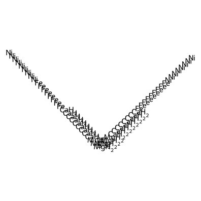 [CaH2].[CaH2].[CaH2].[CaH2].[CaH2].[CaH2].[CaH2].[CaH2].[CaH2].[CaH2].[CaH2].[CaH2].[CaH2].[CaH2].[CaH2].[CaH2].[CaH2].[Fe].[Fe].[Fe].[Fe].[Fe].[Fe].[Fe].[Fe].[Fe].[Fe].[Fe].[Fe].[Fe].[Fe].[Fe].[Fe].[Fe].[MgH2].[MgH2].[MgH2].[MgH2].[MgH2].[MgH2].[Ni].[Ni].[Ni].[Ni].[Ni].[Ni].[Ni].[Ni].[Ni].[Ni].[Ni].[Ni].[Ni].[Ni].[Ni].[Ni].[Ni]